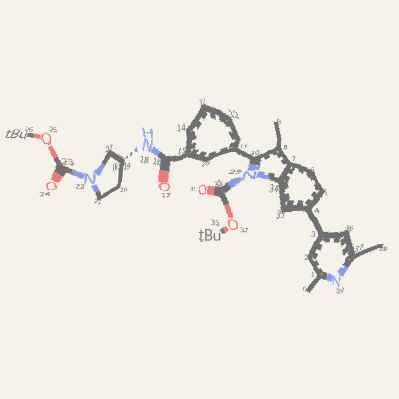 Cc1cc(-c2ccc3c(C)c(-c4cccc(C(=O)N[C@@H]5CCN(C(=O)OC(C)(C)C)C5)c4)n(C(=O)OC(C)(C)C)c3c2)cc(C)n1